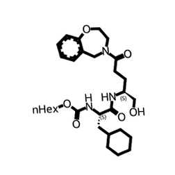 CCCCCCOC(=O)N[C@@H](CC1CCCCC1)C(=O)N[C@H](CO)CCC(=O)N1CCOc2ccccc2C1